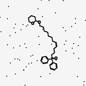 O=P(CCC/C=C\CCCCCCCOC1CCCCO1)(c1ccccc1)c1ccccc1